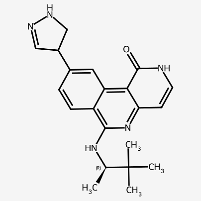 C[C@@H](Nc1nc2cc[nH]c(=O)c2c2cc(C3C=NNC3)ccc12)C(C)(C)C